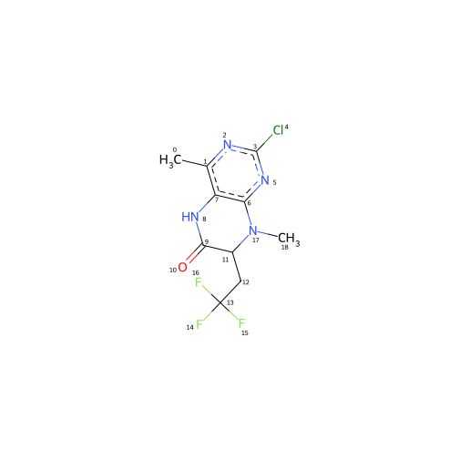 Cc1nc(Cl)nc2c1NC(=O)C(CC(F)(F)F)N2C